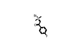 C[S](C)(Br)=CC(=O)c1ccc(F)cc1